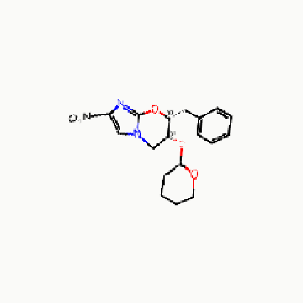 O=[N+]([O-])c1cn2c(n1)O[C@H](Cc1ccccc1)[C@H](OC1CCCCO1)C2